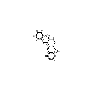 O=C1CCN(C2CC2)C(=Cc2ccccc2)C1=Cc1ccccc1